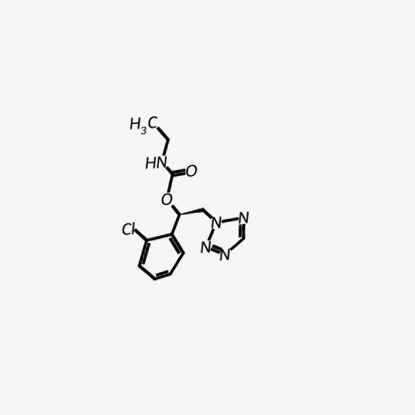 CCNC(=O)O[C@@H](Cn1ncnn1)c1ccccc1Cl